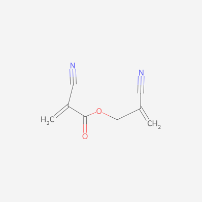 C=C(C#N)COC(=O)C(=C)C#N